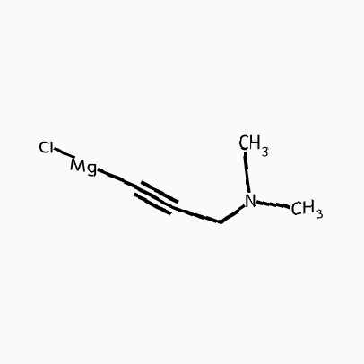 CN(C)CC#[C][Mg][Cl]